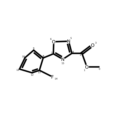 COC(=O)c1noc(-c2ccccc2F)n1